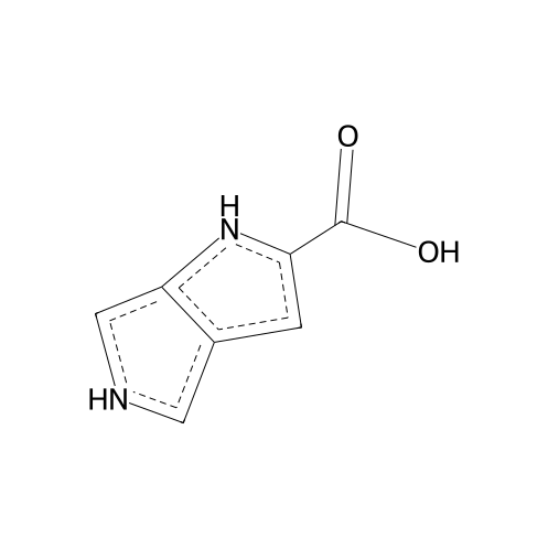 O=C(O)c1cc2c[nH]cc2[nH]1